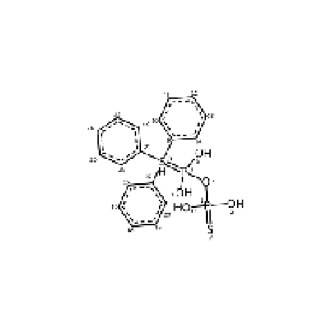 OP(O)(=S)OP(O)(O)=[SH](c1ccccc1)(c1ccccc1)c1ccccc1